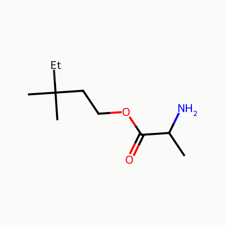 CCC(C)(C)CCOC(=O)C(C)N